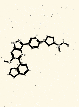 COc1cc2[nH]nc(-c3ccc(C4CCC(N(C)SC)C4)nc3)c2nc1-c1cccc2c1CCC2